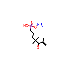 C=C(C)C(=O)C(C)(C)CCCP(=O)(O)ON